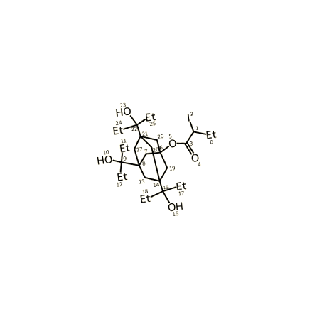 CCC(I)C(=O)OC12CC3(C(O)(CC)CC)CC(C(O)(CC)CC)(C1)CC(C(O)(CC)CC)(C2)C3